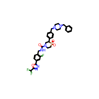 O=C(NCc1ccc(-c2nnc(C(F)F)o2)cc1F)N1CCS(=O)(=O)C(c2ccc(CN3CCN(Cc4ccccc4)CC3)cc2)C1